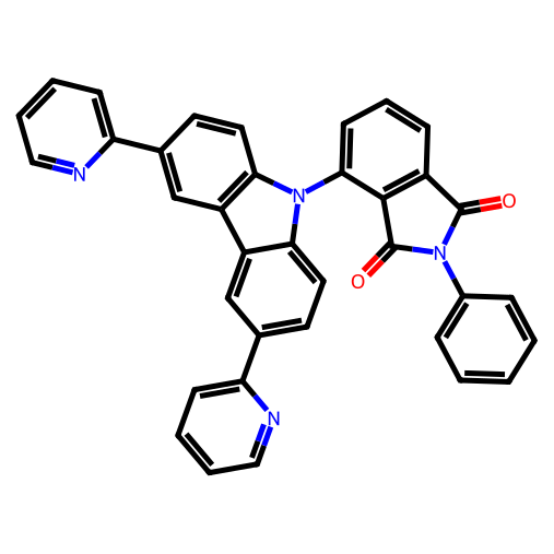 O=C1c2cccc(-n3c4ccc(-c5ccccn5)cc4c4cc(-c5ccccn5)ccc43)c2C(=O)N1c1ccccc1